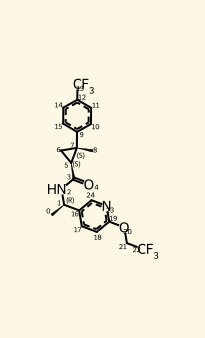 C[C@@H](NC(=O)[C@H]1C[C@]1(C)c1ccc(C(F)(F)F)cc1)c1ccc(OCC(F)(F)F)nc1